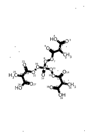 CC(C(=O)O)C(=O)OOP(=O)(OOC(=O)C(C)C(=O)O)OOC(=O)C(C)C(=O)O